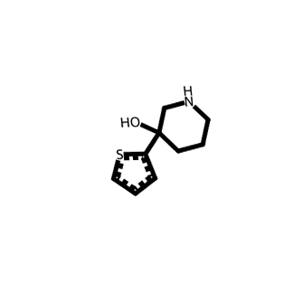 OC1(c2cccs2)CCCNC1